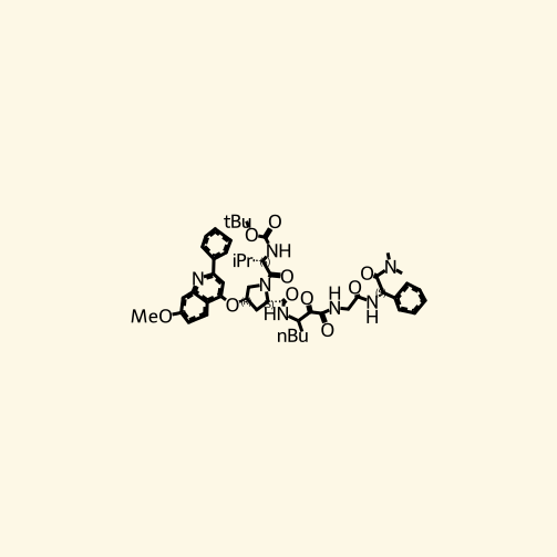 CCCCC(NC(=O)[C@@H]1C[C@@H](Oc2cc(-c3ccccc3)nc3cc(OC)ccc23)CN1C(=O)[C@@H](NC(=O)OC(C)(C)C)C(C)C)C(=O)C(=O)NCC(=O)N[C@H](C(=O)N(C)C)c1ccccc1